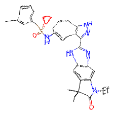 CCN1C(=O)C(C)(C)c2cc3[nH]c(-c4n[nH]c5ccc(NS(=O)(=O)c6cccc(C)c6)cc45)nc3cc21